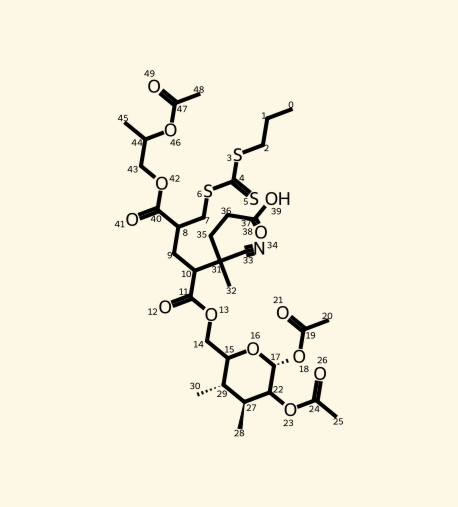 CCCSC(=S)SCC(CC(C(=O)OCC1O[C@H](OC(C)=O)C(OC(C)=O)[C@@H](C)[C@@H]1C)C(C)(C#N)CCC(=O)O)C(=O)OCC(C)OC(C)=O